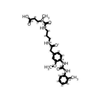 COc1cc(CC(=O)NCCCNC(=O)N(C)CCC(=O)O)ccc1NC(=O)Nc1ccccc1C